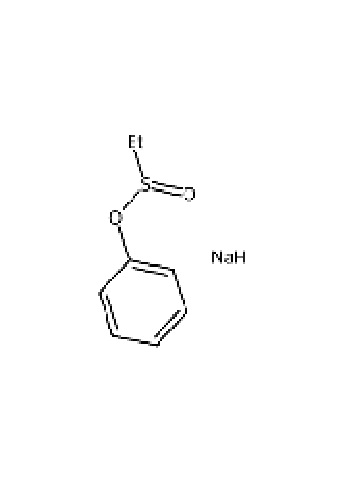 CCS(=O)Oc1ccccc1.[NaH]